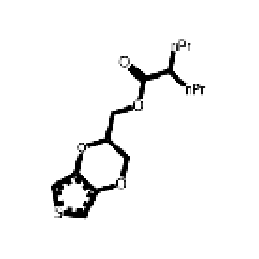 CCCC(CCC)C(=O)OCC1COc2cscc2O1